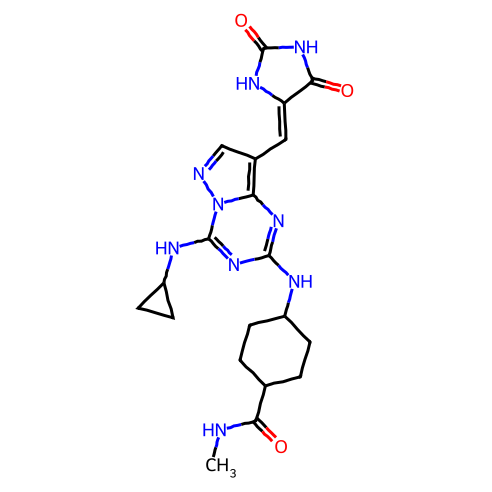 CNC(=O)C1CCC(Nc2nc(NC3CC3)n3ncc(C=C4NC(=O)NC4=O)c3n2)CC1